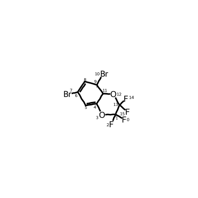 FC1(F)OC2=CC(Br)=C[C](Br)C2OC1(F)F